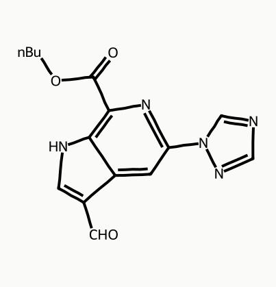 CCCCOC(=O)c1nc(-n2cncn2)cc2c(C=O)c[nH]c12